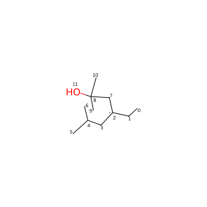 CC[C](CC(C)C)CC(C)(C)O